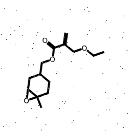 C=C(COCC)C(=O)OCC1CCC2(C)OC2C1